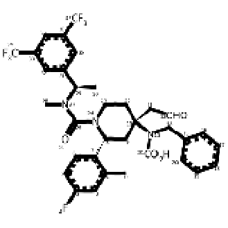 Cc1cc(F)ccc1[C@H]1C[C@@](CC=O)(N(Cc2ccccc2)C(=O)O)CCN1C(=O)N(C)[C@H](C)c1cc(C(F)(F)F)cc(C(F)(F)F)c1